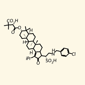 CC(C)C1=C2C(CC[C@]3(C)[C@@H]2CC[C@@H]2[C@@]4(C)CC[C@H](OC(=O)CC(C)(C)C(=O)O)C(C)(C)[C@H]4CC[C@]23C)C([C@H](CNCc2ccc(Cl)cc2)S(=O)(=O)O)C1=O